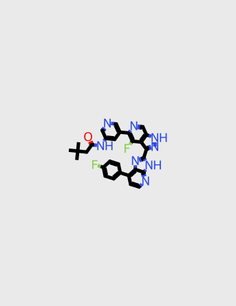 CC(C)(C)CC(=O)Nc1cncc(-c2ncc3[nH]nc(-c4nc5c(-c6ccc(F)cc6)ccnc5[nH]4)c3c2F)c1